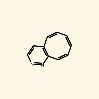 C1=CC=Cc2nnccc2C=C1